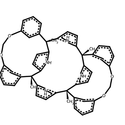 C[C@]12c3cccc(c3)OCOc3cccc(c3)[C@](C)(c3ccc1[nH]3)c1ccc([nH]1)[C@@]1(C)c3cccc(c3)OCOc3cccc(c3)[C@](C)(c3ccc1[nH]3)c1ccc2[nH]1